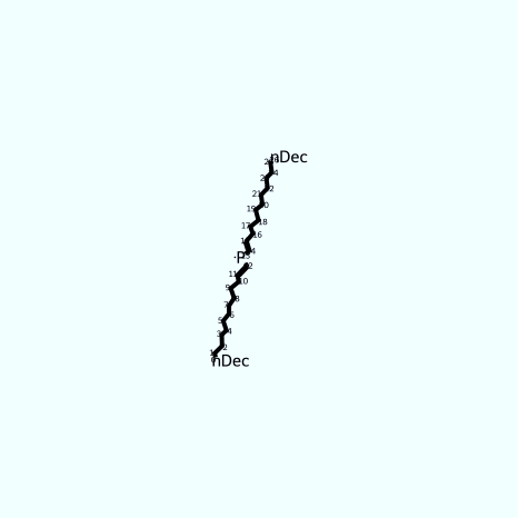 CCCCCCCCCCCCCCCCCCCCC=C[P]C=CCCCCCCCCCCCCCCCCCCCC